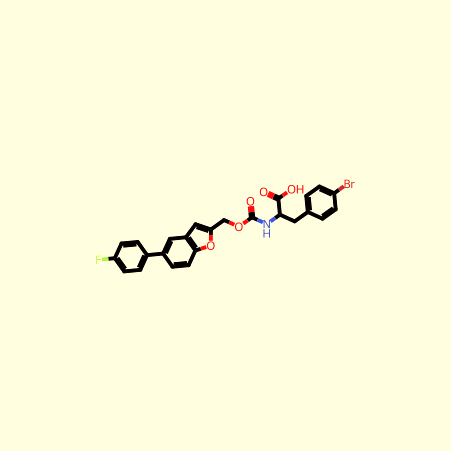 O=C(NC(Cc1ccc(Br)cc1)C(=O)O)OCc1cc2cc(-c3ccc(F)cc3)ccc2o1